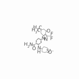 CC1(C)CC(=O)c2c(C(F)F)nn(-c3ccc(C(N)=O)c(NC4CC[S+]([O-])CC4)c3)c2C1